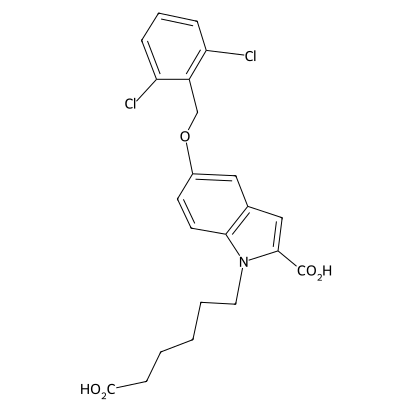 O=C(O)CCCCCn1c(C(=O)O)cc2cc(OCc3c(Cl)cccc3Cl)ccc21